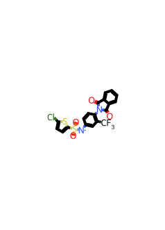 O=C1c2ccccc2C(=O)N1c1ccc([N]S(=O)(=O)c2ccc(Cl)s2)cc1C(F)(F)F